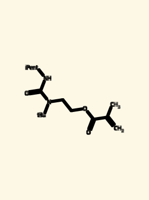 C=C(C)C(=O)OCCN(C(=O)NC(C)CCC)C(C)(C)C